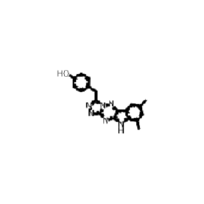 Cc1cc(C)c2[nH]c3nc4nnc(Cc5ccc(O)cc5)n4nc3c2c1